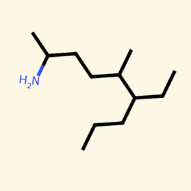 CCCC(CC)C(C)CCC(C)N